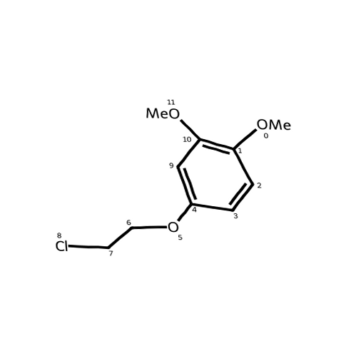 COc1ccc(OCCCl)cc1OC